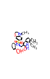 Cc1ccc2cc(CN([C@@H]3CCCC[C@H]3O)S(=O)(=O)c3ccc4c(c3)OCCN4C)c(=O)[nH]c2c1C